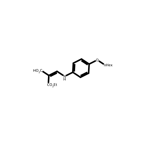 CCCCCCOc1ccc(NC=C(C(=O)O)C(=O)OCC)cc1